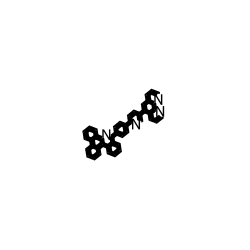 c1cnc2c(c1)cc(-c1ccc(-c3ccc(-c4nc5c6ccccc6c6ccccc6c5c5ccccc45)cc3)nc1)c1cccnc12